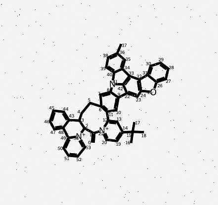 C=C1C2C(CCc3cc4c(cc3-c3cc(C(C)(C)C)cc[n+]31)c1cc3oc5ccccc5c3c3c5cc(C)ccc5n4c13)c1ccccc1-c1cccc[n+]12